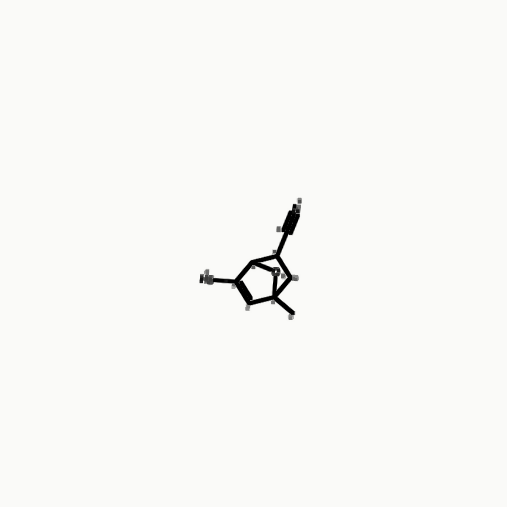 CC12C=C(S)C(O1)C(C#N)C2